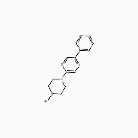 CC(C)N1CCN(c2cnc(-c3ccccc3)cn2)CC1